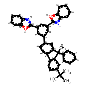 CC(C)(C)c1ccc2c(c1)C(C)(c1ccccc1)c1cc(-c3cc(-c4nc5ccccc5o4)cc(-c4nc5ccccc5o4)c3)ccc1-2